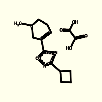 CN1CCC=C(c2nc(C3CCC3)no2)C1.O=C(O)C(=O)O